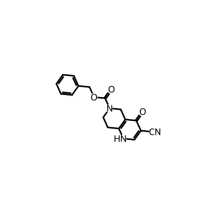 N#Cc1c[nH]c2c(c1=O)CN(C(=O)OCc1ccccc1)CC2